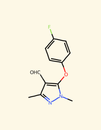 Cc1nn(C)c(Oc2ccc(F)cc2)c1C=O